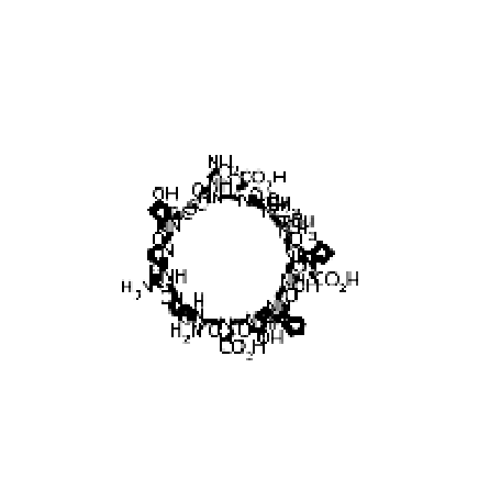 CCCC[C@H]1C(=O)N(C)[C@@H](CCCC)C(=O)N[C@@H](CCC(=O)O)C(=O)N[C@H](C(=O)NCC(N)=O)CSCC(=O)N[C@@H](Cc2ccc(O)cc2)C(=O)N2CCCC[C@@H]2C(=O)N[C@@H](CC(N)=O)C(=O)N2CCC[C@H]2C(=O)N[C@@H](CN)C(=O)N[C@@H](CCC(=O)O)C(=O)N2C[C@H](O)C[C@H]2C(=O)N[C@@H](Cc2c[nH]c3ccccc23)C(=O)N[C@@H](CO)C(=O)N[C@@H](Cc2cn(CC(=O)O)c3ccccc23)C(=O)N1C